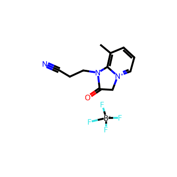 Cc1ccc[n+]2c1N(CCC#N)C(=O)C2.F[B-](F)(F)F